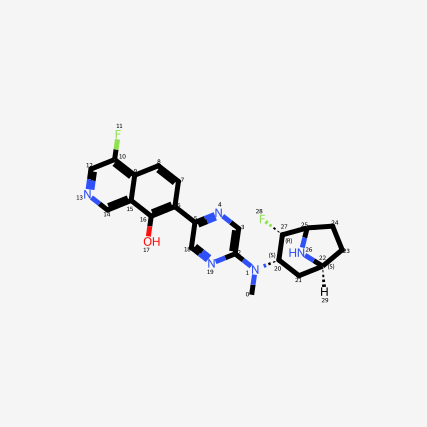 CN(c1cnc(-c2ccc3c(F)cncc3c2O)cn1)[C@H]1C[C@@H]2CCC(N2)[C@H]1F